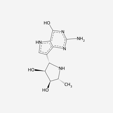 C[C@H]1N[C@@H](c2c[nH]c3c(O)nc(N)nc23)[C@H](O)[C@@H]1O